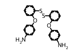 Nc1ccc(Oc2ccccc2SSc2ccccc2Oc2ccc(N)cc2)cc1